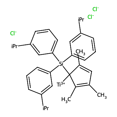 CC1=CC(C)=C(C)[C]1([Ti+3])[Si](c1cccc(C(C)C)c1)(c1cccc(C(C)C)c1)c1cccc(C(C)C)c1.[Cl-].[Cl-].[Cl-]